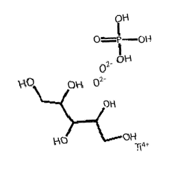 O=P(O)(O)O.OCC(O)C(O)C(O)CO.[O-2].[O-2].[Ti+4]